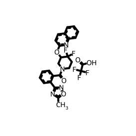 Cc1nc(-c2ccccc2C(=O)N2CCC(F)(F)C(Oc3ccc4ccccc4n3)C2)no1.O=C(O)C(F)(F)F